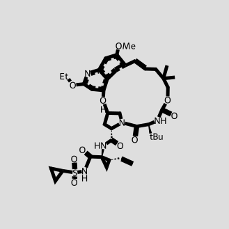 C=C[C@@H]1C[C@]1(NC(=O)[C@@H]1C[C@@H]2CN1C(=O)[C@H](C(C)(C)C)NC(=O)OCC(C)(C)C/C=C/c1cc3c(cc(OCC)nc3cc1OC)O2)C(=O)NS(=O)(=O)C1CC1